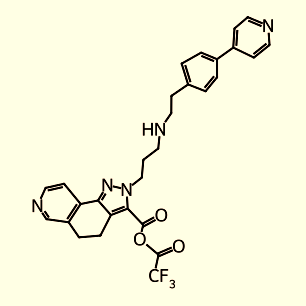 O=C(OC(=O)C(F)(F)F)c1c2c(nn1CCCNCCc1ccc(-c3ccncc3)cc1)-c1ccncc1CC2